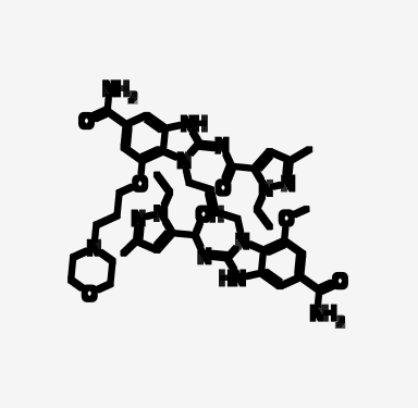 CCn1nc(C)cc1C(=O)/N=c1/[nH]c2cc(C(N)=O)cc(OCCCN3CCOCC3)c2n1C/C=C/Cn1/c(=N\C(O)c2cc(C)nn2CC)[nH]c2cc(C(N)=O)cc(OC)c21